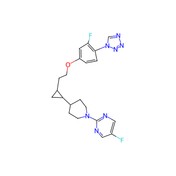 Fc1cnc(N2CCC(C3CC3CCOc3ccc(-n4cnnn4)c(F)c3)CC2)nc1